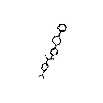 CN(C)c1ccc(C(=O)Nc2ccc(N3CCN(c4ccccn4)CC3)cc2)cc1